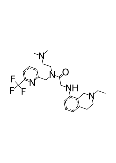 CCN1CCc2cccc(NCC(=O)N(CCN(C)C)Cc3cccc(C(F)(F)F)n3)c2C1